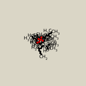 C=C/C=C/CC(C)CC(C(=O)NCC(=O)N(C)C(=O)NC)N(C)/C(CN(C)C(=C)C(CC(C)C)N(C)C(=O)C(CC(C)C)N(C)C(=C)[C@@H](C)NC(=C)C(C)NC(=C)CN(C)C(=O)C(CCC(C)C)C(C)C)=C(\C)CC